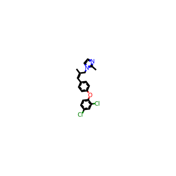 CC(=Cc1ccc(Oc2ccc(Cl)cc2Cl)cc1)Cn1ccnc1C